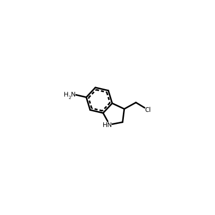 Nc1ccc2c(c1)NCC2CCl